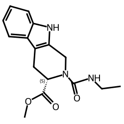 CCNC(=O)N1Cc2[nH]c3ccccc3c2C[C@H]1C(=O)OC